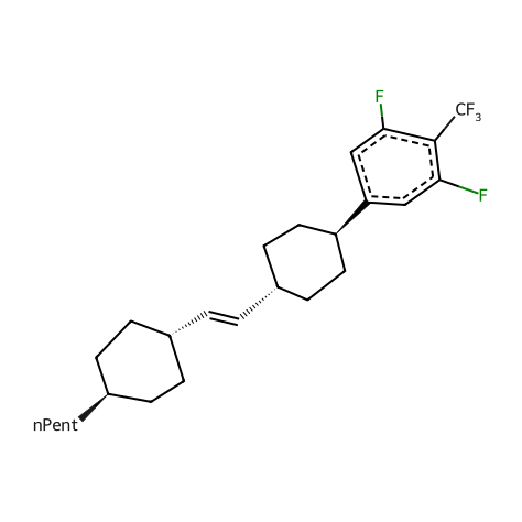 CCCCC[C@H]1CC[C@H](C=C[C@H]2CC[C@H](c3cc(F)c(C(F)(F)F)c(F)c3)CC2)CC1